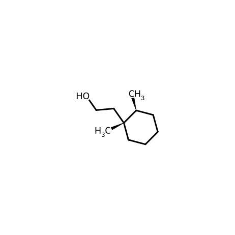 C[C@H]1CCCC[C@]1(C)CCO